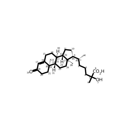 C[C@H](CCCC(C)(O)C(=O)O)[C@H]1CC[C@H]2[C@@H]3CCC4=CC(=O)CC[C@]4(C)[C@H]3CC[C@]12C